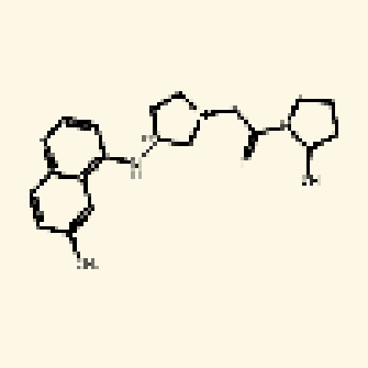 Cc1ccc2nccc(N[C@@H]3CCN(CC(=O)N4CCCC4C#N)C3)c2c1